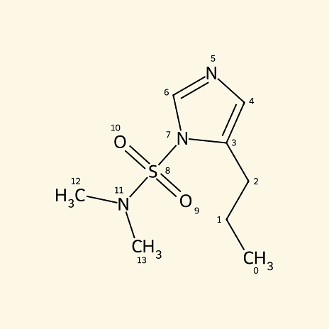 CCCc1cncn1S(=O)(=O)N(C)C